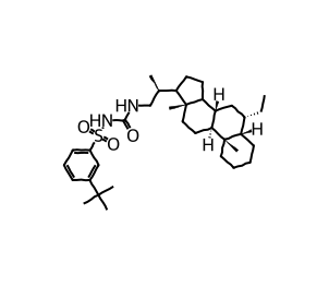 CC[C@H]1C[C@H]2C3CCC([C@H](C)CNC(=O)NS(=O)(=O)c4cccc(C(C)(C)C)c4)[C@@]3(C)CC[C@@H]2[C@@]2(C)CCCC[C@@H]12